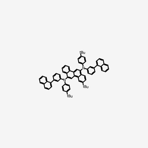 CC(C)(C)c1ccc(N(c2cccc(-c3cccc4ccccc34)c2)c2cc3c4cc(C(C)(C)C)ccc4c(N(c4ccc(C(C)(C)C)cc4)c4cccc(-c5cccc6ccccc56)c4)cc3c3ccccc23)cc1